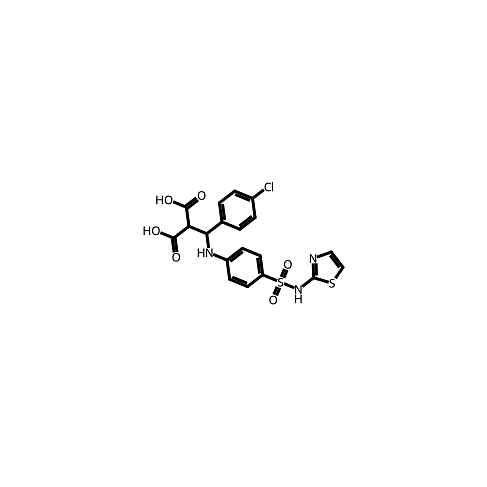 O=C(O)C(C(=O)O)C(Nc1ccc(S(=O)(=O)Nc2nccs2)cc1)c1ccc(Cl)cc1